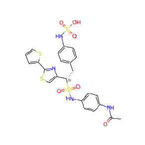 CC(=O)Nc1ccc(NS(=O)(=O)[C@@H](Cc2ccc(NS(=O)(=O)O)cc2)c2csc(-c3cccs3)n2)cc1